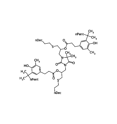 CCCCCCCCCCCCSCC(CN1C(=O)N(CC(CSCCCCCCCCCCCC)OC(=O)CCc2cc(C)c(O)c(C(C)(C)CCCCC)c2)C(C)(C)C1=O)OC(=O)CCc1cc(C)c(O)c(C(C)(C)CCCCC)c1